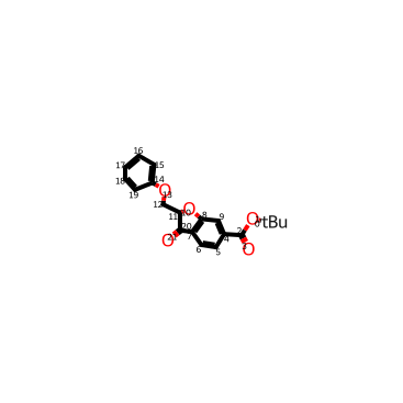 CC(C)(C)OC(=O)c1ccc2c(c1)OC(COc1ccccc1)C2=O